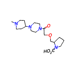 CN1CCC(N2CCN(C(=O)COCC3CCCN3C(=O)O)CC2)CC1